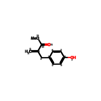 C=C(Cc1ccc(O)cc1)C(=O)OC